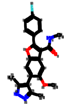 CNC(=O)c1c(-c2ccc(F)cc2)oc2cc(-c3c(C)n[nH]c3C)c(OC)cc12